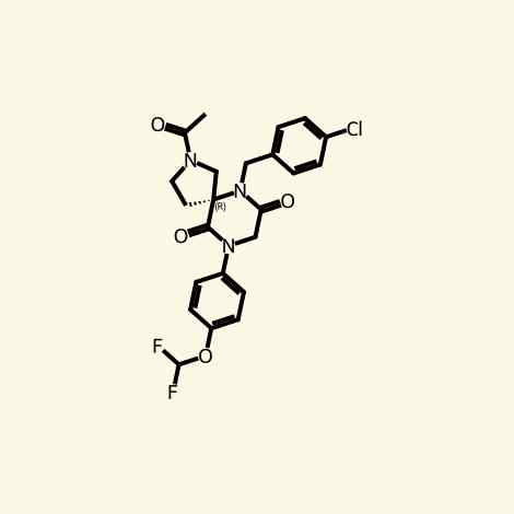 CC(=O)N1CC[C@@]2(C1)C(=O)N(c1ccc(OC(F)F)cc1)CC(=O)N2Cc1ccc(Cl)cc1